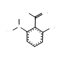 C=C(C)c1c(C)cccc1N(C)C